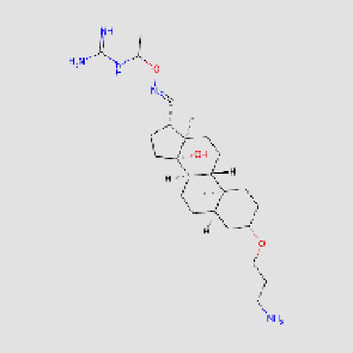 CC(NC(=N)N)O/N=C/[C@H]1CC[C@]2(O)[C@@H]3CC[C@@H]4C[C@@H](OCCCN)CC[C@]4(C)[C@H]3CC[C@]12C